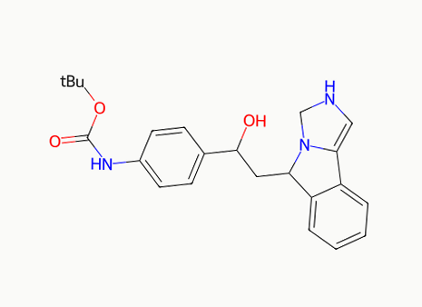 CC(C)(C)OC(=O)Nc1ccc(C(O)CC2c3ccccc3C3=CNCN32)cc1